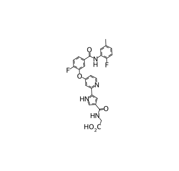 Cc1ccc(F)c(NC(=O)c2ccc(F)c(Oc3ccnc(-c4cc(C(=O)NCC(=O)O)c[nH]4)c3)c2)c1